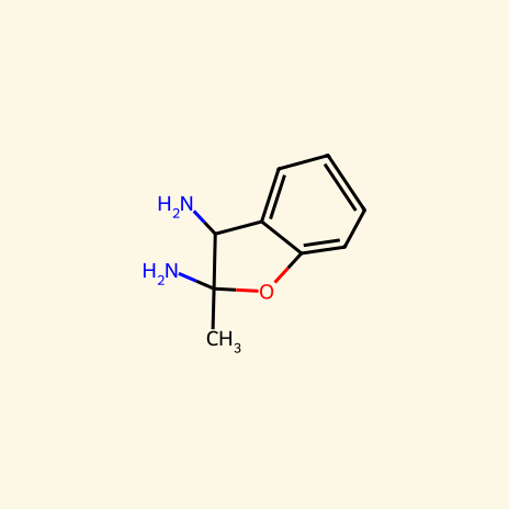 CC1(N)Oc2ccccc2C1N